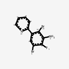 Nc1c(F)c(Br)cc(-c2ccccn2)c1Br